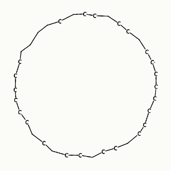 [CH]1CCCCCCCCCCCCCCCCCCCCCCCCCCCCCCCCCC1